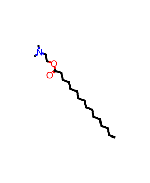 CCCCCCCCCCCCCCCC(=O)OCCN(C)C